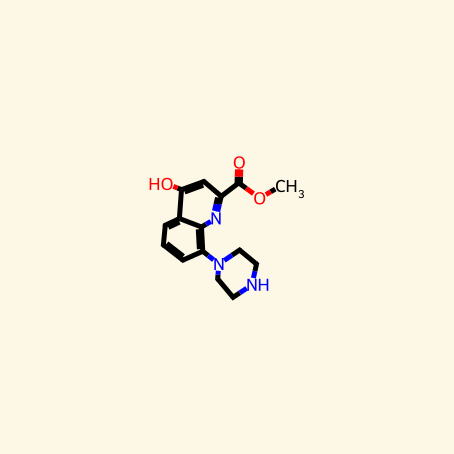 COC(=O)c1cc(O)c2cccc(N3CCNCC3)c2n1